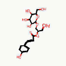 O=C(C=Cc1ccc(O)cc1)OC(CO)COC1OC(CO)C(O)C(O)C1O